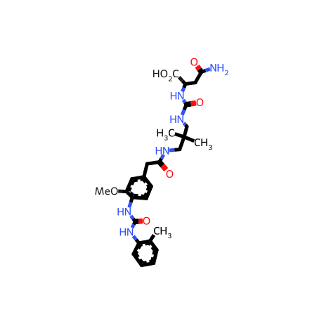 COc1cc(CC(=O)NCC(C)(C)CNC(=O)NC(CC(N)=O)C(=O)O)ccc1NC(=O)Nc1ccccc1C